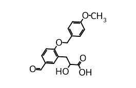 COc1ccc(COc2ccc(C=O)cc2CC(O)C(=O)O)cc1